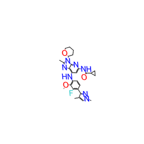 COc1c(Nc2cc(NC(=O)C3CC3)nc3c2nc(C)n3C2CCCCO2)ccc(-c2nn(C)cc2C)c1F